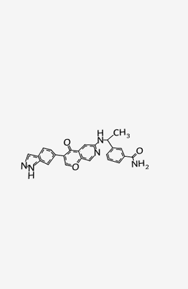 CC(Nc1cc2c(=O)c(-c3ccc4cn[nH]c4c3)coc2cn1)c1cccc(C(N)=O)c1